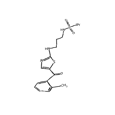 Cc1ccccc1C(=O)c1cnc(NCCCNS(=O)(=O)C(C)C)s1